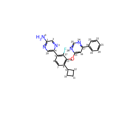 Nc1cnc(-c2ccc(C3CCC3)c(Oc3cc(-c4ccccc4)ncn3)c2F)cn1